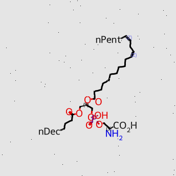 CCCCC/C=C\C/C=C\CCCCCCCCCC(=O)O[C@H](COC(=O)CCCCCCCCCCCCC)COP(=O)(O)OC[C@H](N)C(=O)O